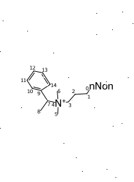 CCCCCCCCCCCC[N+](C)(C)C(C)c1ccccc1